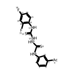 CC(=O)c1cccc(NC(=S)NNC(=S)Nc2ccc(F)cc2F)c1